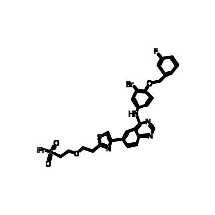 CC(C)S(=O)(=O)CCOCCc1nc(-c2ccc3ncnc(Nc4ccc(OCc5cccc(F)c5)c(Br)c4)c3c2)cs1